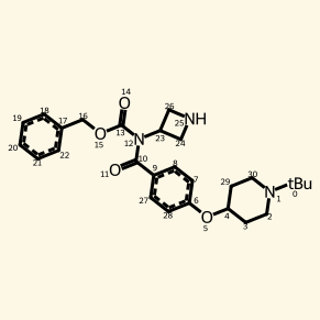 CC(C)(C)N1CCC(Oc2ccc(C(=O)N(C(=O)OCc3ccccc3)C3CNC3)cc2)CC1